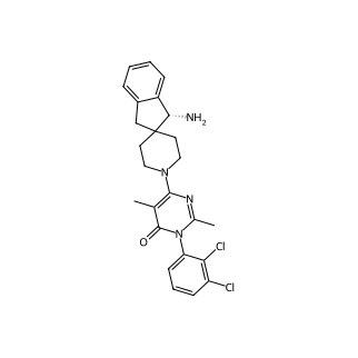 Cc1c(N2CCC3(CC2)Cc2ccccc2[C@@H]3N)nc(C)n(-c2cccc(Cl)c2Cl)c1=O